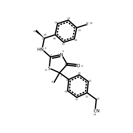 C[C@H](NC1=NC(=O)C(C)(c2ccc(CC#N)cc2)S1)c1ccc(F)cc1